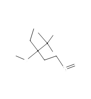 C=NCCC(CC)(SC)C(C)(C)C